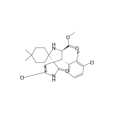 COC(=O)[C@@H]1NC2(CCC(C)(C)CC2)[C@@]2(C(=O)Nc3cc(Cl)ccc32)[C@H]1c1cccc(Cl)c1F